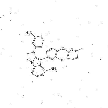 Cc1cccc(Oc2ccc(-c3c4n(c5ncnc(N)c35)CCN4c3cccc(N)c3)cc2F)n1